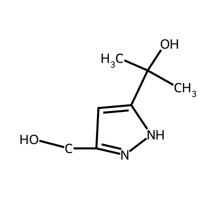 CC(C)(O)c1cc(CO)n[nH]1